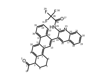 CC(=O)C1CCCc2c1ccc1c2cc(-c2cc3ccccc3nc2NC(=O)C(F)(F)F)c2ccccc21